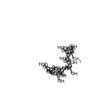 CCCNc1ccc(S(=O)(=O)O)c(/N=N\c2c(S(=O)(=O)O)cc3cc(/N=N/c4c(S(=O)(=O)O)cc5c(N=Nc6ccc7c(O)c(N=Nc8cc(C)c(/N=N\c9cc(S(=O)(=O)O)cc%10cc(S(=O)(=O)O)cc(O)c9%10)cc8OCCO)c(S(=O)(=O)O)cc7c6)c(NCCO)ccc5c4O)ccc3c2O)c1